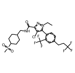 CCn1nc(C(=O)NCC2CCC(S(C)(=O)=O)CC2)c(Cl)c1-c1ccc(CCC(F)(F)F)cc1C(F)(F)F